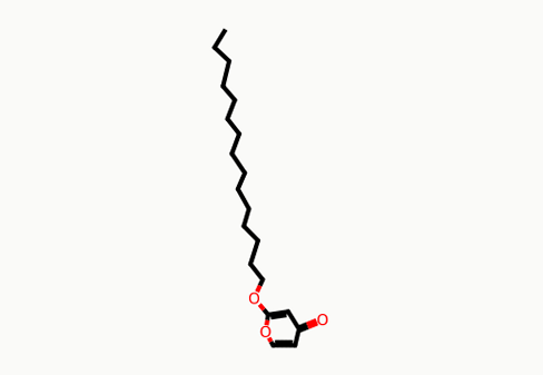 CCCCCCCCCCCCCCCOc1cc(=O)cco1